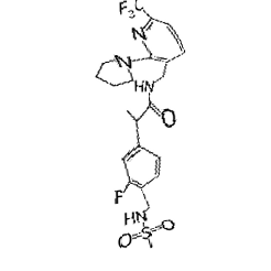 CC(C(=O)NCc1ccc(C(F)(F)F)nc1N1CCCC1)c1ccc(CNS(C)(=O)=O)c(F)c1